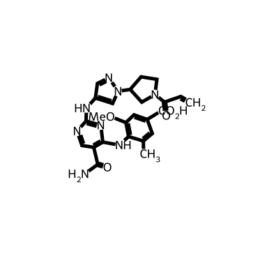 C=CC(=O)N1CCC(n2cc(Nc3ncc(C(N)=O)c(Nc4c(C)cc(C(=O)O)cc4OC)n3)cn2)C1